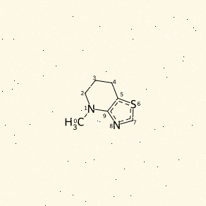 CN1CCCc2scnc21